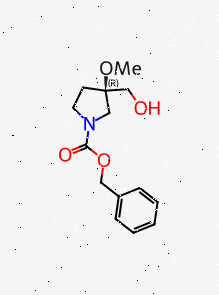 CO[C@]1(CO)CCN(C(=O)OCc2ccccc2)C1